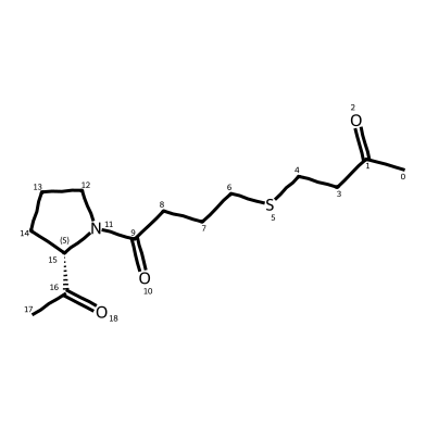 CC(=O)CCSCCCC(=O)N1CCC[C@H]1C(C)=O